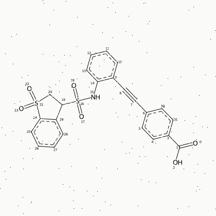 O=C(O)c1ccc(C#Cc2ccccc2NS(=O)(=O)C2CS(=O)(=O)c3ccccc32)cc1